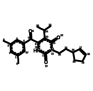 Cc1cc(C)cc(C(=O)c2[nH]c(=O)n(CCC3C=CCC3)c(=O)c2C(C)C)c1